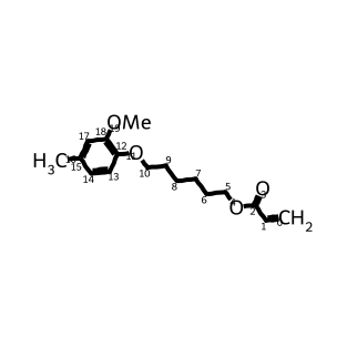 C=CC(=O)OCCCCCCOc1ccc(C)cc1OC